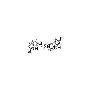 O=C1CCc2ccc(OCCCN3CCC(O)(c4ccc(I)cc4)CC3)cc2N1